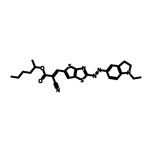 CCCCC(C)OC(=O)/C(C#N)=C/c1cc2sc(/N=N/c3ccc4c(c3)CCN4CC)nc2s1